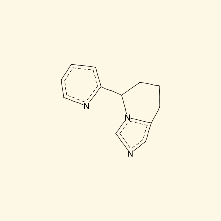 c1ccc(C2CCCc3cncn32)nc1